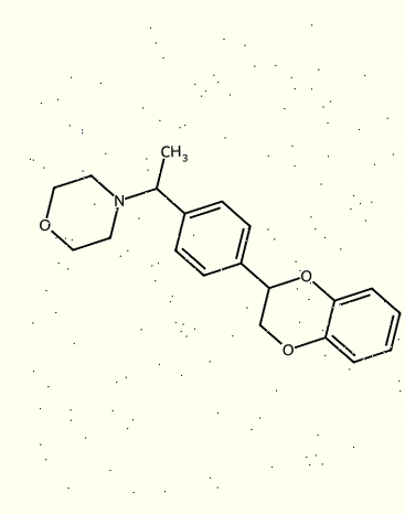 CC(c1ccc(C2COc3ccccc3O2)cc1)N1CCOCC1